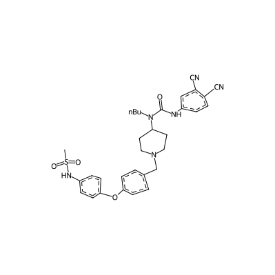 CCCCN(C(=O)Nc1ccc(C#N)c(C#N)c1)C1CCN(Cc2ccc(Oc3ccc(NS(C)(=O)=O)cc3)cc2)CC1